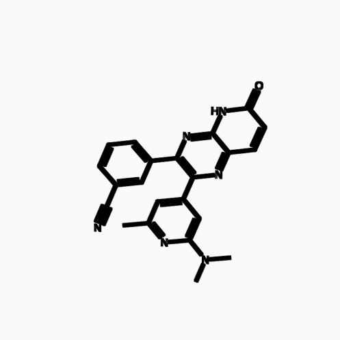 Cc1cc(-c2nc3ccc(=O)[nH]c3nc2-c2cccc(C#N)c2)cc(N(C)C)n1